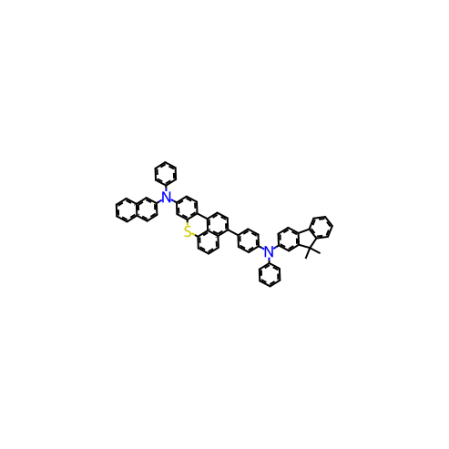 CC1(C)c2ccccc2-c2ccc(N(c3ccccc3)c3ccc(-c4ccc5c6c(cccc46)Sc4cc(N(c6ccccc6)c6ccc7ccccc7c6)ccc4-5)cc3)cc21